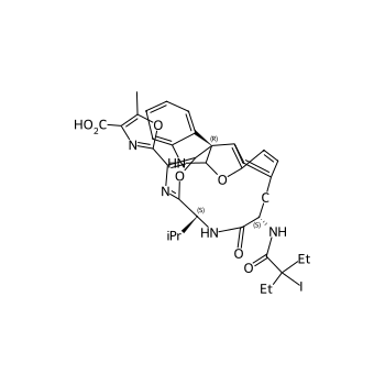 CCC(I)(CC)C(=O)N[C@H]1Cc2ccc3c(c2)[C@@]2(c4ccccc4NC2O3)c2oc(nc2-c2nc(C(=O)O)c(C)o2)[C@H](C(C)C)NC1=O